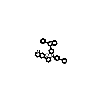 c1ccc(-c2ccc(N(c3ccc(-c4cc(-c5ccccc5)cc5ccccc45)cc3)c3cccc4c3oc3cc5ncccc5cc34)cc2)cc1